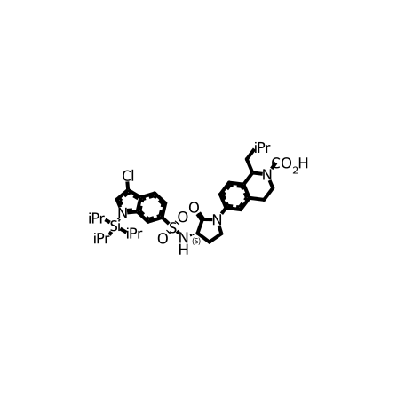 CC(C)CC1c2ccc(N3CC[C@H](NS(=O)(=O)c4ccc5c(Cl)cn([Si](C(C)C)(C(C)C)C(C)C)c5c4)C3=O)cc2CCN1C(=O)O